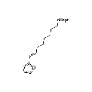 CCCCCCCCCCCCCC=Cc1ccco1